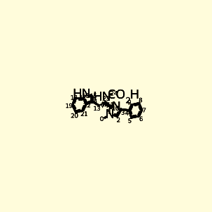 Cn1cc(-c2ccccc2)nc1[C@@H](Cc1c[nH]c2ccccc12)NC(=O)O